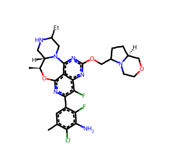 CCC1CN2c3nc(OCC4CC[C@H]5COCCN45)nc4c(F)c(-c5cc(C)c(Cl)c(N)c5F)nc(c34)O[C@@H](C)[C@@H]2CN1